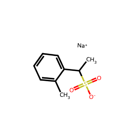 Cc1ccccc1C(C)S(=O)(=O)[O-].[Na+]